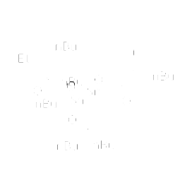 CCCCC(CC)C(=O)[O][Sn]1([CH2]CCC)[CH2]CC(CCCC)(CCCC)[O][Sn]1([CH2]CCC)[O]C(=O)C(CC)CCCC